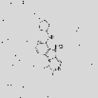 Cc1nnc2sc3c(NC4CCCC4)nccc3c2c1C.Cl